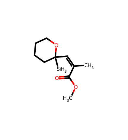 COC(=O)C(C)=CC1([SiH3])CCCCO1